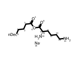 CCCCCCCCCCCCCC(=O)OC(=O)[C@@H](N)CCCCN.[Na]